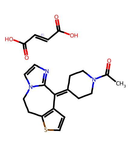 CC(=O)N1CCC(=C2c3ccsc3CCn3ccnc32)CC1.O=C(O)/C=C/C(=O)O